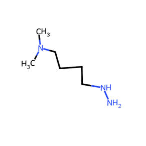 CN(C)CCCCNN